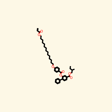 C=CC(=O)OCCCCCCCCCCCCCCCOc1ccc(C(=O)Oc2cc(C(=O)OCC(C)CC)ccc2-c2ccccc2)cc1